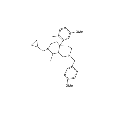 COc1ccc(CN2CCC3(c4cc(OC)ccc4C)CCN(CC4CC4)C(C)C3C2)cc1